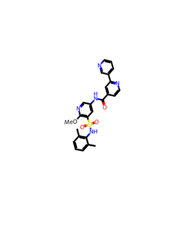 COc1ncc(NC(=O)c2ccnc(-c3cccnc3)c2)cc1S(=O)(=O)Nc1c(C)cccc1C